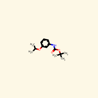 CC(C)Oc1c[c]cc(NC(=O)OC(C)(C)C)c1